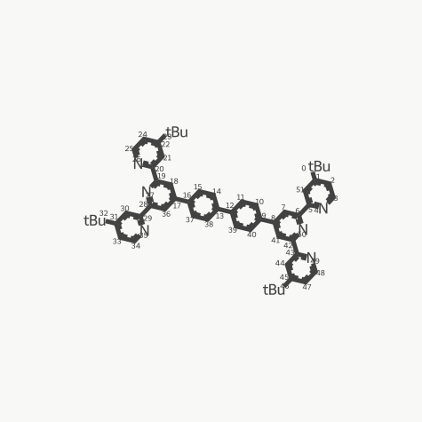 CC(C)(C)c1ccnc(-c2cc(-c3ccc(-c4ccc(-c5cc(-c6cc(C(C)(C)C)ccn6)nc(-c6cc(C(C)(C)C)ccn6)c5)cc4)cc3)cc(-c3cc(C(C)(C)C)ccn3)n2)c1